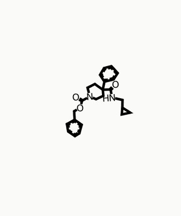 O=C(OCc1ccccc1)N1CCC(C(=O)NCC2CC2)(c2ccccc2)CC1